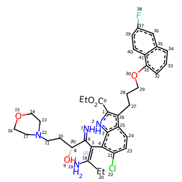 CCOC(=O)c1[nH]c2c(/C(C(=N)[C@H](O)CCN3CCOCC3)=C(/N)CC)c(Cl)ccc2c1CCCOc1cccc2cc(F)ccc12